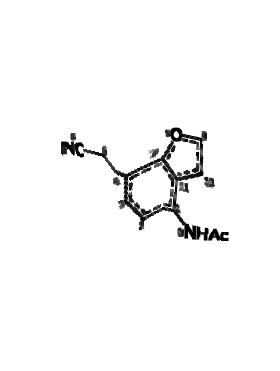 CC(=O)Nc1ccc(CC#N)c2occc12